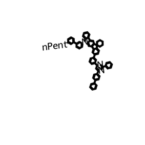 CCCCCc1cccc(-c2cccc(-n3c4ccccc4c4cc5c(cc43)-c3cc(-c4cccc(-c6cc(-c7ccc(-c8ccccc8)cc7)nc(-c7ccccc7)n6)c4)ccc3C53CCCCC3)c2)c1